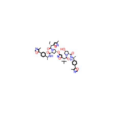 CC[C@@H](C(=O)N1C[C@H](Oc2cc([C@H](C(=O)N3C[C@H](O)C[C@H]3C(=O)N[C@@H](C)c3ccc(-c4ocnc4C)cc3)C(C)(C)C)on2)C[C@H]1C(=O)N[C@@H](C)c1ccc(-c2ocnc2C)cc1)c1cc(C)no1